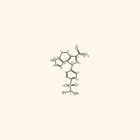 CC(C)N(C(C)C)S(=O)(=O)c1ccc(-n2nc(C(N)=O)c3c2-c2cn[nH]c2CC3)cc1